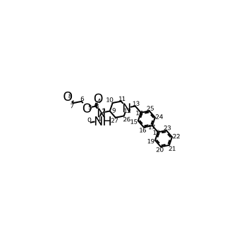 CNN(C(=O)OCC=O)C1CCN(Cc2ccc(-c3ccccc3)cc2)CC1